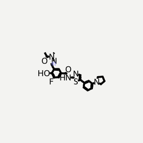 CC(=O)N(C)/N=C/c1cc(C(=O)Nc2ncc(-c3cccc(N4CCCC4)c3)s2)cc(F)c1O